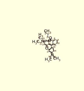 CCCCOC(=O)c1ccccc1-c1c2ccc(=[N+](CC)CC)cc-2oc2cc(N(CC)CC)ccc12